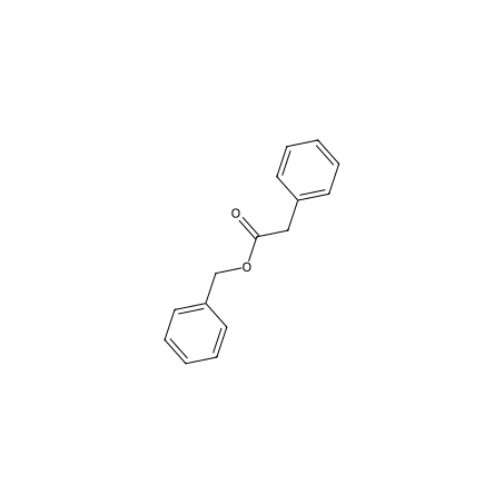 O=C(Cc1ccccc1)OCc1ccccc1